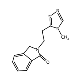 Cn1cnnc1CCN1Cc2ccccc2C1=O